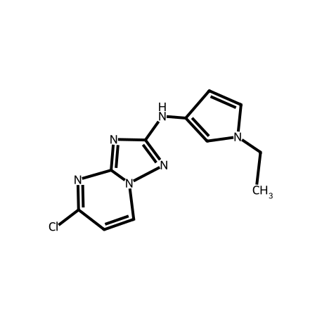 CCn1ccc(Nc2nc3nc(Cl)ccn3n2)c1